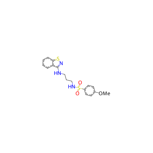 COc1ccc(S(=O)(=O)NCCCNc2nsc3ccccc23)cc1